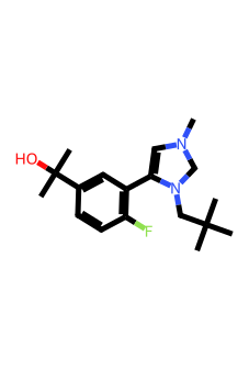 CN1C=C(c2cc(C(C)(C)O)ccc2F)N(CC(C)(C)C)C1